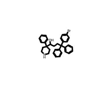 OC(CCC(c1ccccc1)(c1ccccc1)c1ccc(Br)cc1)C1(c2ccccc2)CCNCC1